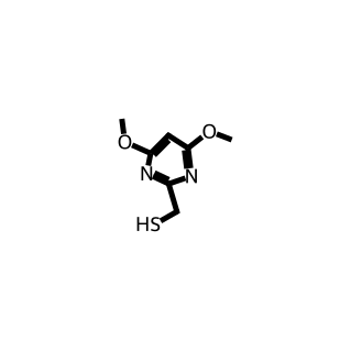 COc1cc(OC)nc(CS)n1